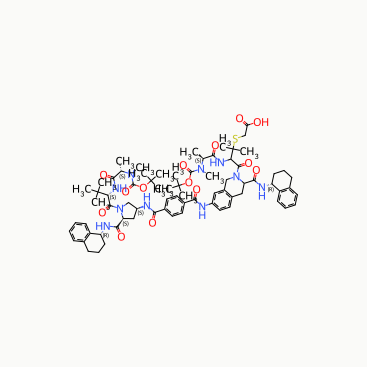 C[C@@H](C(=O)NC(C(=O)N1Cc2cc(NC(=O)c3ccc(C(=O)N[C@H]4C[C@@H](C(=O)N[C@@H]5CCCc6ccccc65)N(C(=O)[C@@H](NC(=O)[C@H](C)N(C)C(=O)OC(C)(C)C)C(C)(C)C)C4)cc3)ccc2CC1C(=O)N[C@@H]1CCCc2ccccc21)C(C)(C)SCC(=O)O)N(C)C(=O)OC(C)(C)C